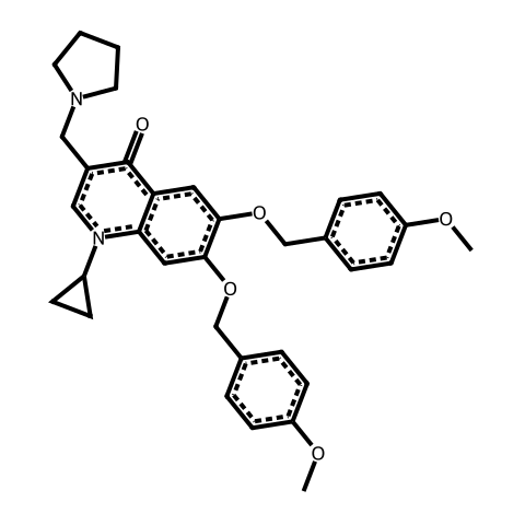 COc1ccc(COc2cc3c(=O)c(CN4CCCC4)cn(C4CC4)c3cc2OCc2ccc(OC)cc2)cc1